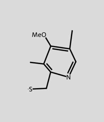 COc1c(C)cnc(C[S])c1C